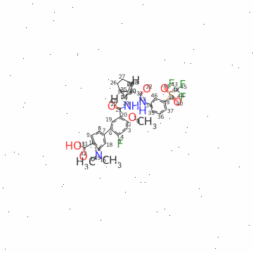 COc1cc(F)c(-c2ccc(C(=O)O)c(N(C)C)c2)cc1C(=O)N[C@@H]1[C@H]2CC[C@H](C2)[C@@H]1C(=O)Nc1cccc(S(=O)(=O)C(F)(F)F)c1